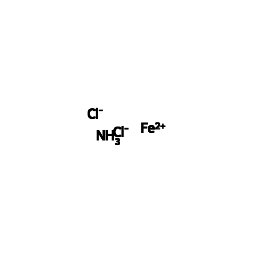 N.[Cl-].[Cl-].[Fe+2]